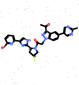 CC(=O)c1nn(CC(=O)N2C[C@H](F)C[C@H]2c2nc(-c3cccc(Br)n3)c[nH]2)c2ccc(-c3cnc(C)nc3)cc12